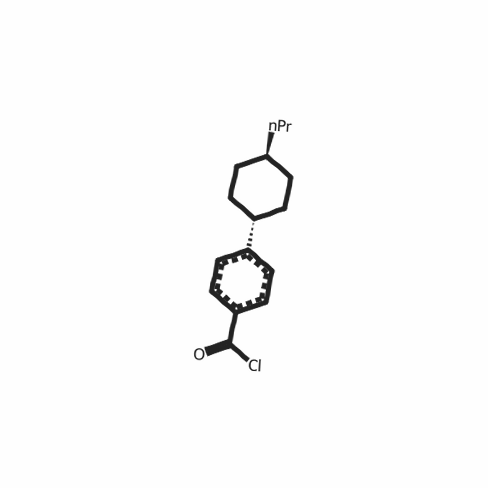 CCC[C@H]1CC[C@H](c2ccc(C(=O)Cl)cc2)CC1